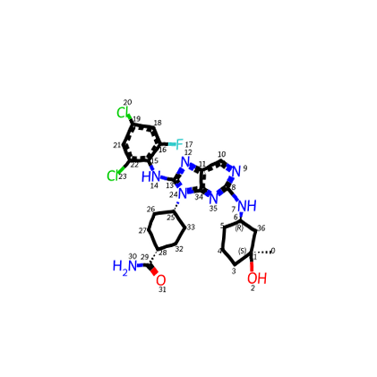 C[C@]1(O)CCC[C@@H](Nc2ncc3nc(Nc4c(F)cc(Cl)cc4Cl)n([C@H]4CC[C@@H](C(N)=O)CC4)c3n2)C1